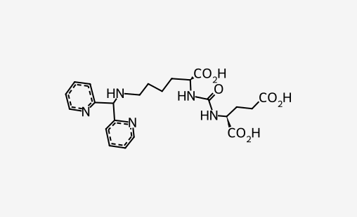 O=C(O)CC[C@H](NC(=O)N[C@@H](CCCCNC(c1ccccn1)c1ccccn1)C(=O)O)C(=O)O